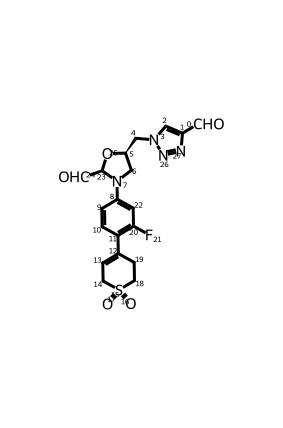 O=Cc1cn(C[C@H]2CN(c3ccc(C4=CCS(=O)(=O)CC4)c(F)c3)C(C=O)O2)nn1